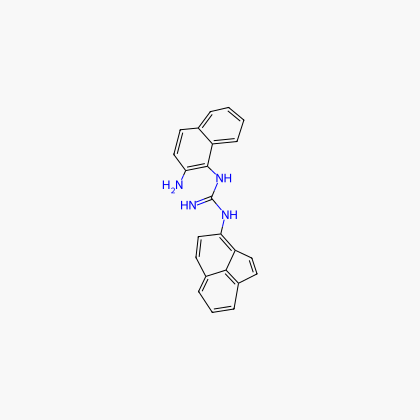 N=C(Nc1ccc2cccc3c2c1C=C3)Nc1c(N)ccc2ccccc12